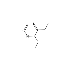 CCc1n[c]cnc1CC